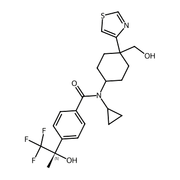 C[C@](O)(c1ccc(C(=O)N(C2CC2)C2CCC(CO)(c3cscn3)CC2)cc1)C(F)(F)F